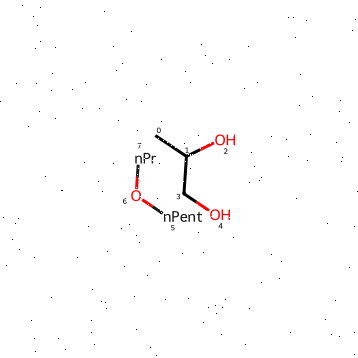 CC(O)CO.CCCCCOCCC